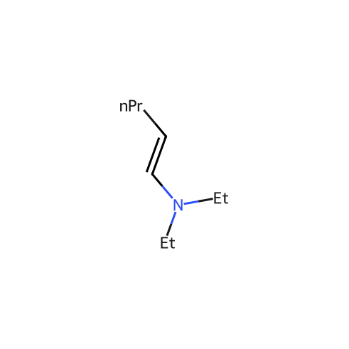 CCCC=CN(CC)CC